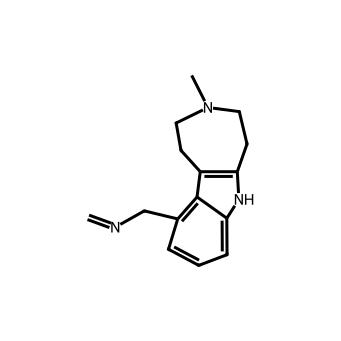 C=NCc1cccc2[nH]c3c(c12)CCN(C)CC3